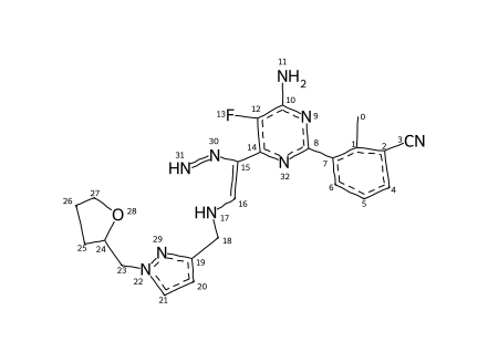 Cc1c(C#N)cccc1-c1nc(N)c(F)c(/C(=C/NCc2ccn(CC3CCCO3)n2)N=N)n1